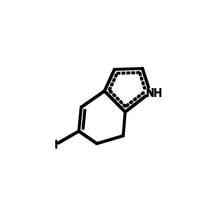 IC1=Cc2cc[nH]c2CC1